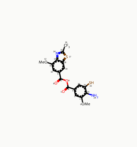 COc1cc(C(=O)OC(=O)c2cc(OC)c3nc(C(F)(F)F)sc3c2)cc(S)c1N